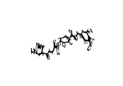 O=C(CCC(=O)c1c[nH]nn1)NC1CCN(C(=O)OCc2cc(Cl)cc(Cl)c2)CC1